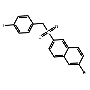 O=S(=O)(Cc1ccc(F)cc1)c1ccc2cc(Br)ccc2c1